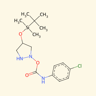 CC(C)(C)[Si](C)(C)OC1CNN(OC(=O)Nc2ccc(Cl)cc2)C1